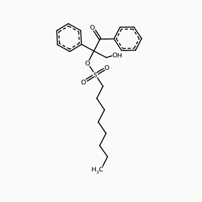 CCCCCCCCS(=O)(=O)OC(CO)(C(=O)c1ccccc1)c1ccccc1